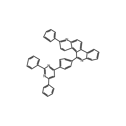 c1ccc(-c2cc(-c3ccc(-c4nc5ccccc5c5ccc6nc(-c7ccccc7)ccc6c45)cc3)nc(-c3ccccc3)n2)cc1